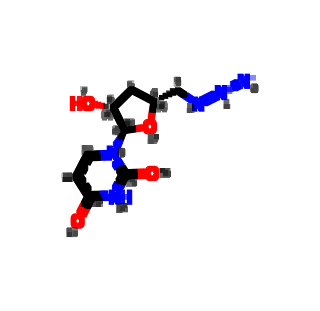 [N-]=[N+]=NC[C@H]1C[C@@H](O)[C@H](n2ccc(=O)[nH]c2=O)O1